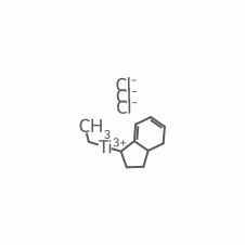 C[CH2][Ti+3][CH]1CCC2CC=CC=C21.[Cl-].[Cl-].[Cl-]